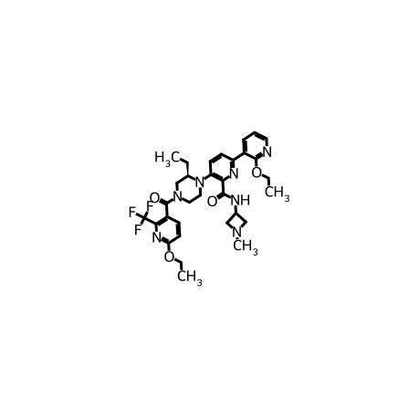 CCOc1ccc(C(=O)N2CCN(c3ccc(-c4cccnc4OCC)nc3C(=O)NC3CN(C)C3)[C@H](CC)C2)c(C(F)(F)F)n1